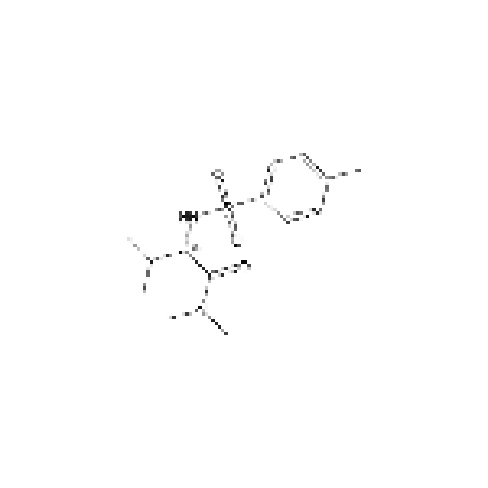 Cc1ccc(S(=O)(=O)N[C@H](C(=O)N(C)C)C(C)C)cc1